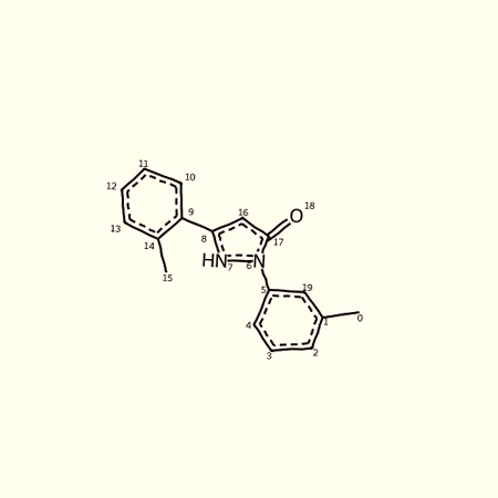 Cc1cccc(-n2[nH]c(-c3ccccc3C)cc2=O)c1